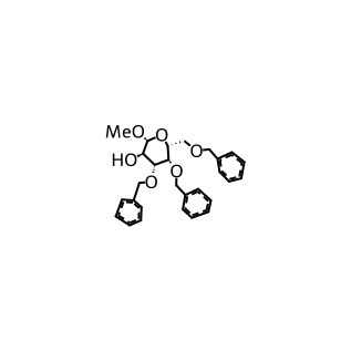 CO[C@@H]1O[C@H](COCc2ccccc2)[C@H](OCc2ccccc2)[C@H](OCc2ccccc2)[C@H]1O